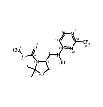 CCN(C[C@H]1COC(C)(C)N1C(=O)OC(C)(C)C)c1ccnc(C(F)(F)F)n1